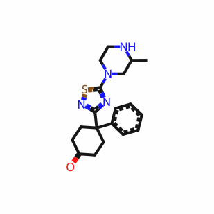 CC1CN(c2nc(C3(c4ccccc4)CCC(=O)CC3)ns2)CCN1